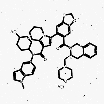 Cl.Cn1ccc2cc(N(C(=O)c3cc(-c4cc5c(cc4C(=O)N4Cc6ccccc6C[C@H]4CN4CCOCC4)OCO5)n4c3CCCC4)C3CCC(O)CC3)ccc21